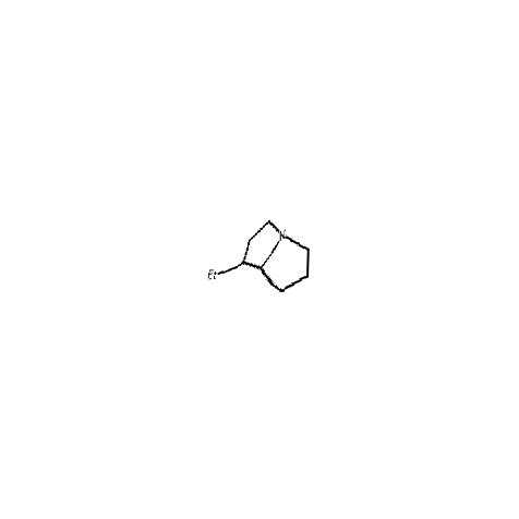 [CH2]CC1CCN2CCCC12